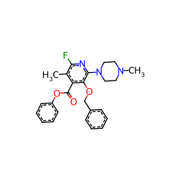 Cc1c(F)nc(N2CCN(C)CC2)c(OCc2ccccc2)c1C(=O)Oc1ccccc1